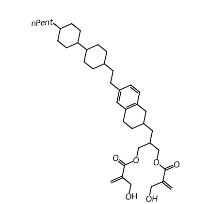 C=C(CO)C(=O)OCC(COC(=O)C(=C)CO)CC1CCc2cc(CCC3CCC(C4CCC(CCCCC)CC4)CC3)ccc2C1